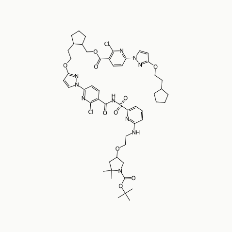 CC(C)(C)OC(=O)N1CC(OCCNc2cccc(S(=O)(=O)NC(=O)c3ccc(-n4ccc(OCCC5CCCC5COC(=O)c5ccc(-n6ccc(OCCC7CCCC7)n6)nc5Cl)n4)nc3Cl)n2)CC1(C)C